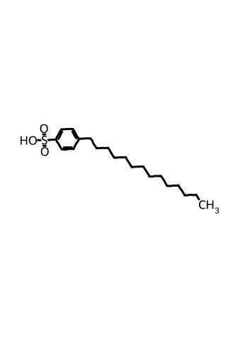 CCCCCCCCCCCCCCc1ccc(S(=O)(=O)O)cc1